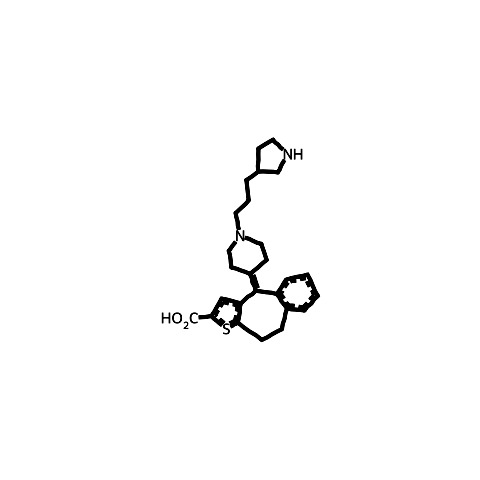 O=C(O)c1cc2c(s1)CCc1ccccc1C2=C1CCN(CCCC2CCNC2)CC1